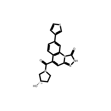 O=C(c1cc2n[nH]c(=O)n2c2cc(-c3ccsc3)ccc12)N1CC[C@H](O)C1